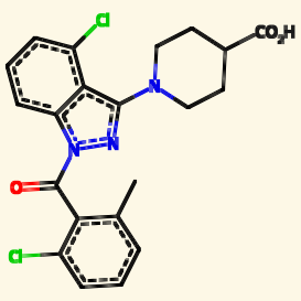 Cc1cccc(Cl)c1C(=O)n1nc(N2CCC(C(=O)O)CC2)c2c(Cl)cccc21